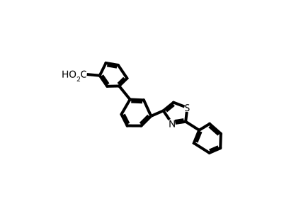 O=C(O)c1cccc(-c2cccc(-c3csc(-c4ccccc4)n3)c2)c1